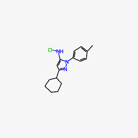 Cc1ccc(-n2nc(C3CCCCC3)cc2NCl)cc1